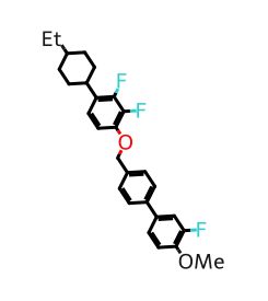 CCC1CCC(c2ccc(OCc3ccc(-c4ccc(OC)c(F)c4)cc3)c(F)c2F)CC1